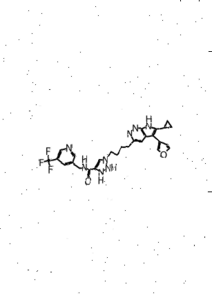 O=C(NCc1cncc(C(F)(F)F)c1)C1=CN(CCCCc2cc3c(-c4ccoc4)c(C4CC4)[nH]c3nn2)NN1